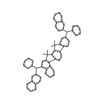 CC1(C)c2cc(N(c3ccccc3)c3ccc4ccccc4c3)ccc2-c2ccc3c(c21)C(C)(C)c1cc(N(c2ccccc2)c2ccc4ccccc4c2)c2ccccc2c1-3